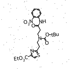 CCOC(=O)c1csc(CCN(CCC(=O)Nc2ccccc2[N+](=O)[O-])C(=O)OC(C)(C)C)n1